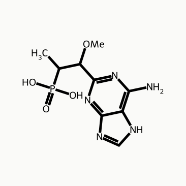 COC(c1nc(N)c2[nH]cnc2n1)C(C)P(=O)(O)O